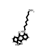 NCCCCCCCCNc1cccc2c1C(=O)c1cccc3[nH]nc-2c13